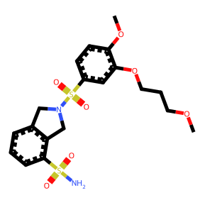 COCCCOc1cc(S(=O)(=O)N2Cc3cccc(S(N)(=O)=O)c3C2)ccc1OC